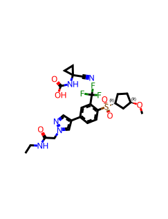 CCNC(=O)Cn1cc(-c2ccc(S(=O)(=O)[C@@H]3CC[C@@H](OC)C3)c(C(F)(F)F)c2)cn1.N#CC1(NC(=O)O)CC1